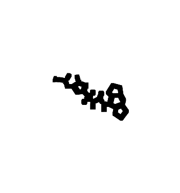 CC(=O)N(C)Cc1cc(S(=O)(=O)NC(=O)Nc2c3c(cc4c2CCC4)CCC3)nn1C